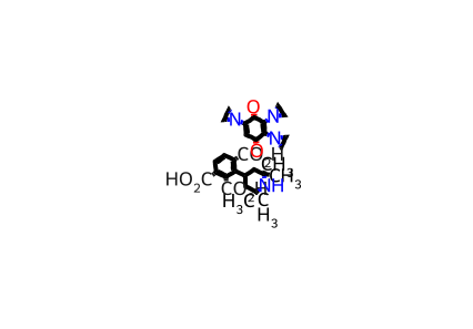 CC1(C)CC(c2c(C(=O)O)ccc(C(=O)O)c2C(=O)O)CC(C)(C)N1.O=C1C=C(N2CC2)C(=O)C(N2CC2)=C1N1CC1